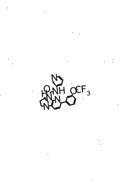 O=C(Nc1cccnc1)N1c2nc(-c3cccc(OC(F)(F)F)c3)ccc2N2CC[C@H]1C2